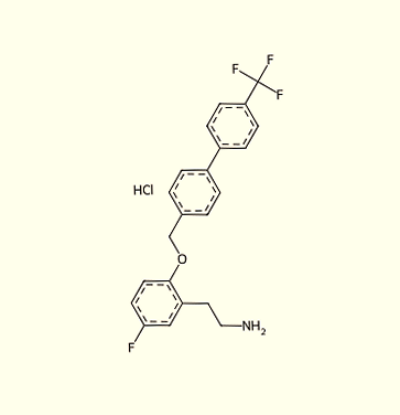 Cl.NCCc1cc(F)ccc1OCc1ccc(-c2ccc(C(F)(F)F)cc2)cc1